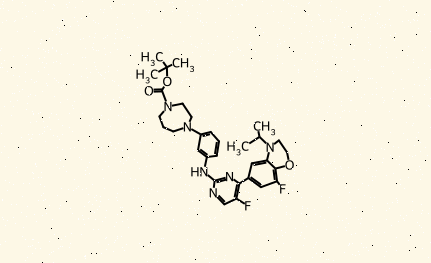 CC(C)N1CCOc2c(F)cc(-c3nc(Nc4cccc(N5CCCN(C(=O)OC(C)(C)C)CC5)c4)ncc3F)cc21